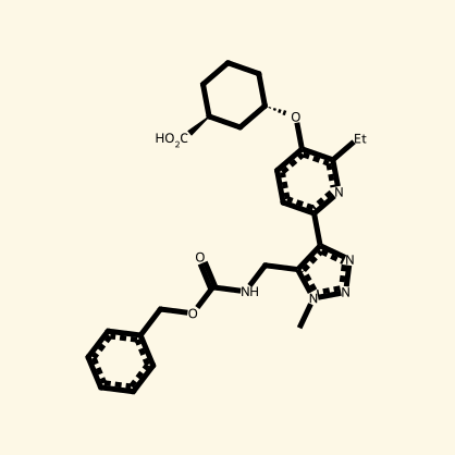 CCc1nc(-c2nnn(C)c2CNC(=O)OCc2ccccc2)ccc1O[C@H]1CCC[C@H](C(=O)O)C1